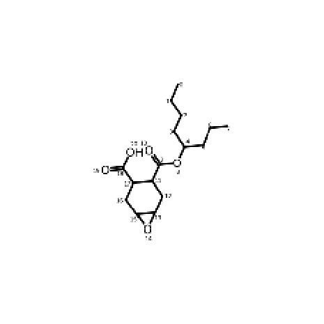 CCCCC(CCC)OC(=O)C1CC2OC2CC1C(=O)O